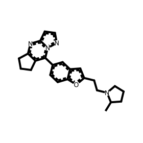 CC1CCCN1CCc1cc2cc(-c3c4c(nc5ccnn35)CCC4)ccc2o1